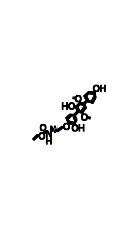 CCOC(=O)N/N=C/COc1ccc(-c2c(OC)cc(-c3ccc(O)cc3)c(OC)c2O)cc1O